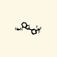 N#CN=C1CCCc2sc(-c3cccc(C(F)(F)F)c3)cc21